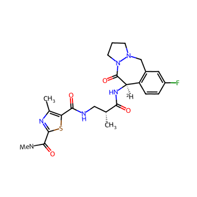 [2H][C@]1(NC(=O)[C@H](C)CNC(=O)c2sc(C(=O)NC)nc2C)C(=O)N2CCCN2Cc2cc(F)ccc21